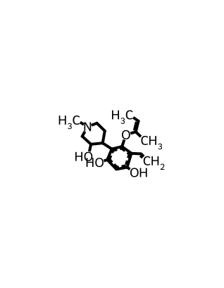 C=Cc1c(O)cc(O)c(C2CCN(C)CC2O)c1O/C(C)=C\C